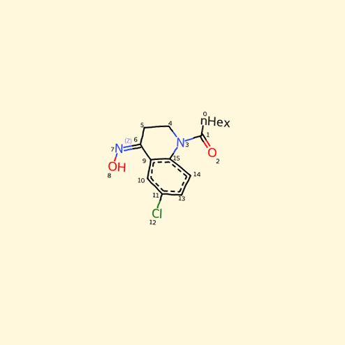 CCCCCCC(=O)N1CC/C(=N/O)c2cc(Cl)ccc21